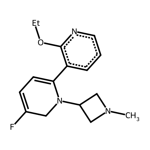 CCOc1ncccc1C1=CC=C(F)CN1C1CN(C)C1